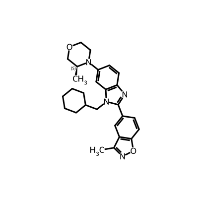 Cc1noc2ccc(-c3nc4ccc(N5CCOC[C@@H]5C)cc4n3CC3CCCCC3)cc12